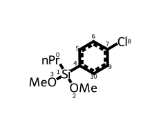 CCC[Si](OC)(OC)c1ccc(Cl)cc1